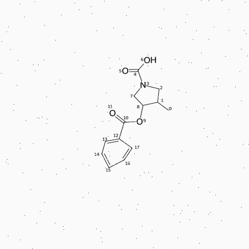 CC1CN(C(=O)O)CC1OC(=O)c1ccccc1